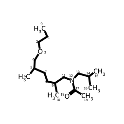 CCCOCC(C)CCC(C)CN(CC(C)C)C(C)=O